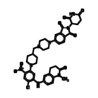 CN1C(=O)CCc2cc(Nc3cc(N4CCC(CN5CCN(c6ccc7c(c6)C(=O)N(C6CCC(=O)NC6=O)C7=O)CC5)CC4)c([N+](=O)[O-])cc3Cl)ccc21